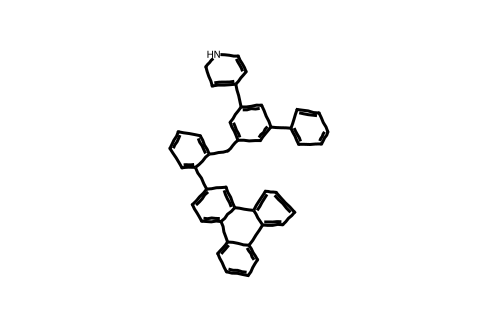 C1=CC(c2cc(Cc3ccccc3-c3ccc4c5ccccc5c5ccccc5c4c3)cc(-c3ccccc3)c2)=CCN1